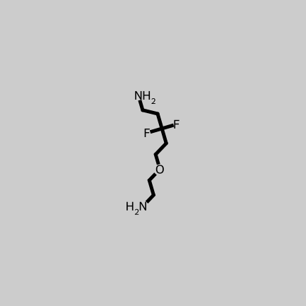 NCCOCCC(F)(F)CCN